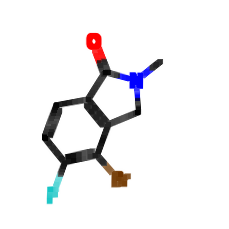 CN1Cc2c(ccc(F)c2Br)C1=O